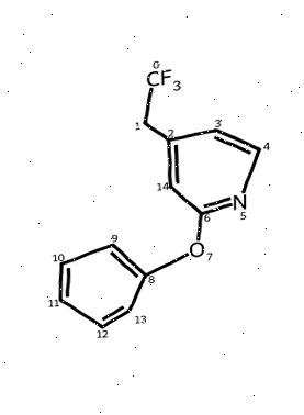 FC(F)(F)Cc1ccnc(Oc2ccccc2)c1